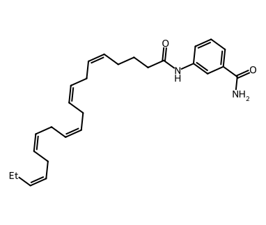 CC/C=C\C/C=C\C/C=C\C/C=C\C/C=C\CCCC(=O)Nc1cccc(C(N)=O)c1